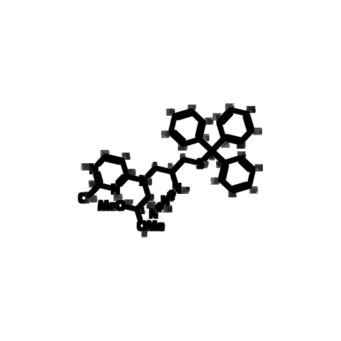 COC(CN(CC(CSC(c1ccccc1)(c1ccccc1)c1ccccc1)N=[N+]=[N-])c1ccnc(Cl)n1)OC